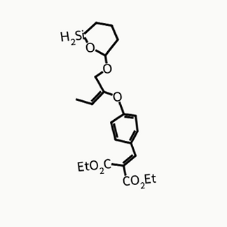 C/C=C(\COC1CCC[SiH2]O1)Oc1ccc(C=C(C(=O)OCC)C(=O)OCC)cc1